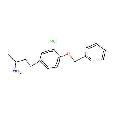 CC(N)CCc1ccc(OCc2ccccc2)cc1.Cl